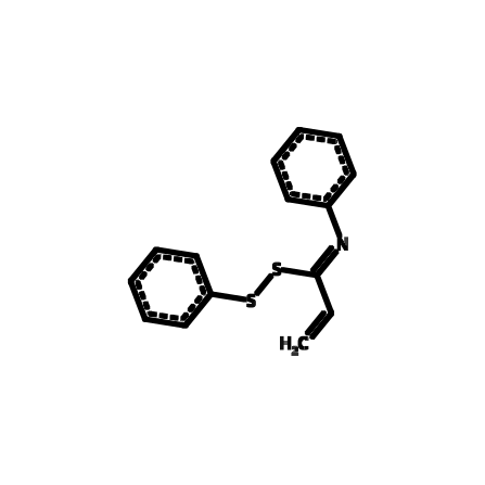 C=CC(=Nc1ccccc1)SSc1ccccc1